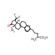 CC(CCCc1ccc2c(c1)CCC1=C2CC[C@]2(C)C(=O)CC(=C(F)F)[C@H]12)C(=O)O